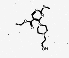 CCOC(=O)c1cnc(SC)nc1N1CCN(CCO)CC1